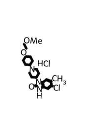 COCCOC1CCC(N2CCC(n3c(=O)[nH]c4cc(Cl)c(C)cc43)CC2)CC1.Cl